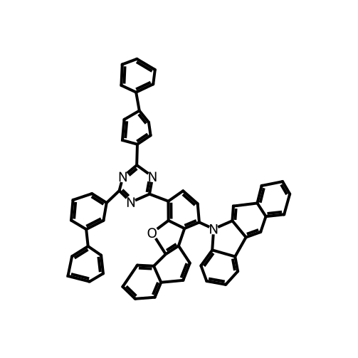 c1ccc(-c2ccc(-c3nc(-c4cccc(-c5ccccc5)c4)nc(-c4ccc(-n5c6ccccc6c6cc7ccccc7cc65)c5c4oc4c6ccccc6ccc45)n3)cc2)cc1